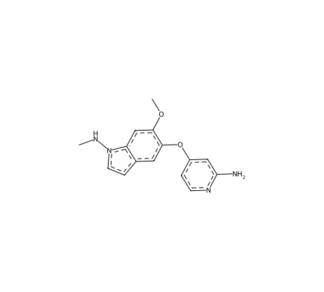 CNn1ccc2cc(Oc3ccnc(N)c3)c(OC)cc21